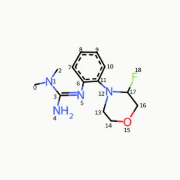 CN(C)C(N)=Nc1ccccc1N1CCOCC1F